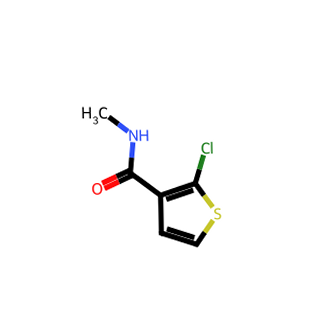 CNC(=O)c1ccsc1Cl